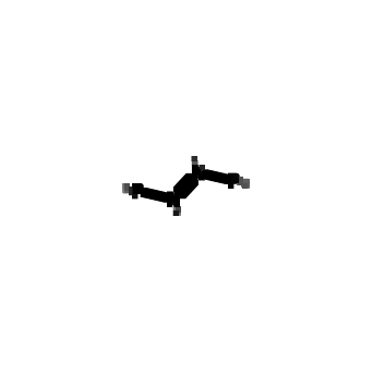 [P]N=N[P]